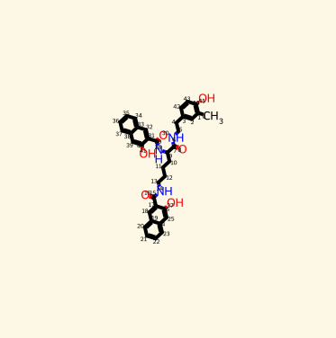 Cc1cc(CCNC(=O)C(CCCCNC(=O)c2cc3ccccc3cc2O)NC(=O)c2cc3ccccc3cc2O)ccc1O